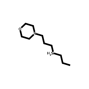 CCC[SiH2]CCCN1CCOCC1